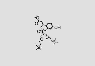 COC(=O)CC(CS(=O)(=O)N(COCC[Si](C)(C)C)COCC[Si](C)(C)C)c1ccc(O)cc1